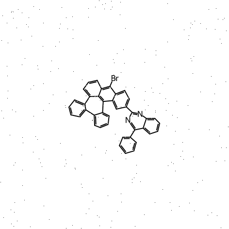 Brc1c2ccc(-c3nc(-c4ccccc4)c4ccccc4n3)cc2c2c3c(cccc13)-c1ccccc1-c1ccccc1-2